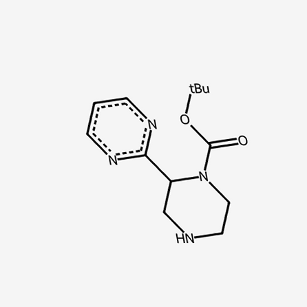 CC(C)(C)OC(=O)N1CCNCC1c1ncccn1